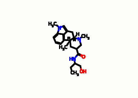 CCC(CO)NC(=O)C1CN(C)[C@@H]2Cc3cn(C)c4cccc(c34)[C@@]2(C)C1